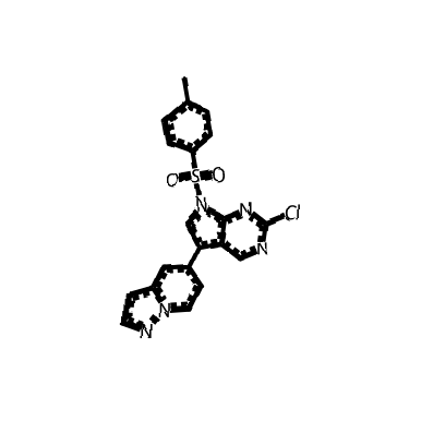 Cc1ccc(S(=O)(=O)n2cc(-c3ccn4nccc4c3)c3cnc(Cl)nc32)cc1